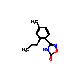 CCCc1cc(C)ccc1-c1noc(=O)[nH]1